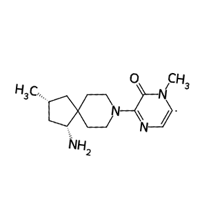 C[C@H]1C[C@@H](N)C2(CCN(c3nc[c]n(C)c3=O)CC2)C1